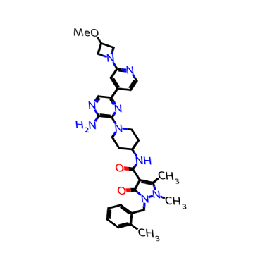 COC1CN(c2cc(-c3cnc(N)c(N4CCC(NC(=O)c5c(C)n(C)n(Cc6ccccc6C)c5=O)CC4)n3)ccn2)C1